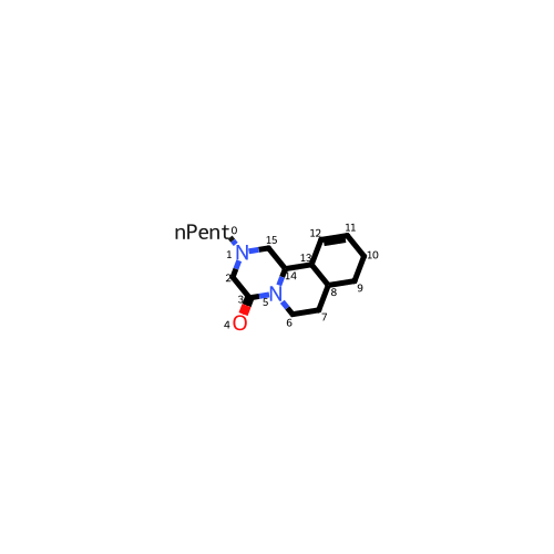 CCCCCN1CC(=O)N2CCC3CCC=CC3C2C1